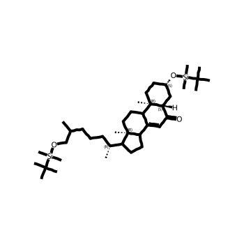 CC(CCC[C@@H](C)C1CCC2C3=CC(=O)[C@H]4C[C@@H](O[Si](C)(C)C(C)(C)C)CC[C@]4(C)C3CC[C@@]21C)CO[Si](C)(C)C(C)(C)C